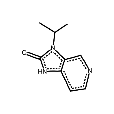 CC(C)n1c(=O)[nH]c2ccncc21